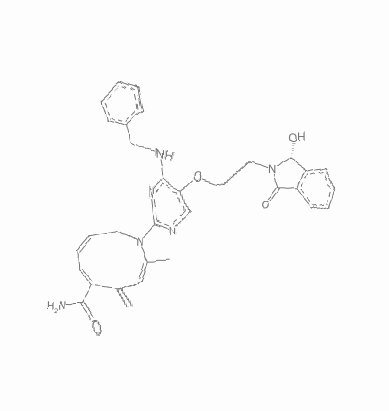 C=C1/C=C(/C)N(c2ncc(OCCN3C(=O)c4ccccc4[C@H]3O)c(NCc3ccccc3)n2)C/C=C\C=C/1C(N)=O